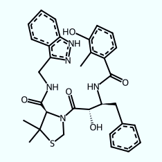 Cc1c(O)cccc1C(=O)N[C@@H](Cc1ccccc1)[C@H](O)C(=O)N1CSC(C)(C)[C@H]1C(=O)NCc1n[nH]c2ccccc12